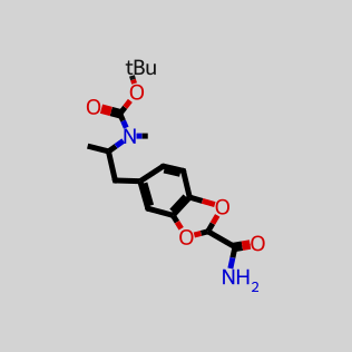 CC(Cc1ccc2c(c1)OC(C(N)=O)O2)N(C)C(=O)OC(C)(C)C